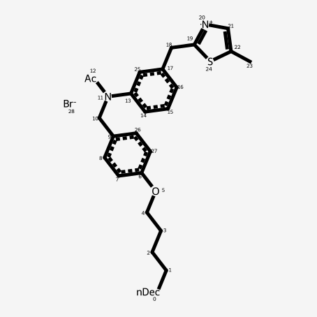 CCCCCCCCCCCCCCOc1ccc(CN(C(C)=O)c2cccc(CC3=[N+]C=C(C)S3)c2)cc1.[Br-]